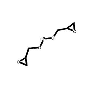 C(OPOCC1CO1)C1CO1